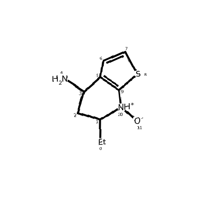 CCC1CC(N)c2ccsc2[NH+]1[O-]